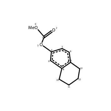 COC(=O)Oc1ccc2c(c1)CCCC2